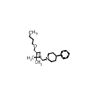 CCCCOC[C@H]1C[C@@H](CN2CCC(c3ccccc3)CC2)C1(C)C